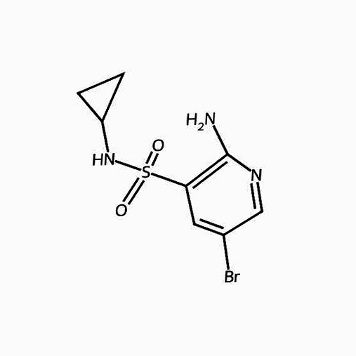 Nc1ncc(Br)cc1S(=O)(=O)NC1CC1